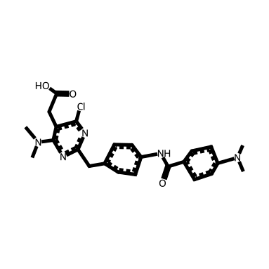 CN(C)c1ccc(C(=O)Nc2ccc(Cc3nc(Cl)c(CC(=O)O)c(N(C)C)n3)cc2)cc1